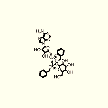 Nc1ncnc2c1ncn2[C@@H]1O[C@H](COP(=O)(CP(=O)(OCc2ccccc2)OC2OC(CO)[C@@H](O)[C@H](O)C2O)OCc2ccccc2)C(O)[C@@H]1O